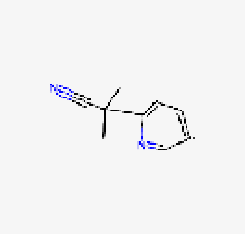 CC(C)(C#N)c1cc[c]cn1